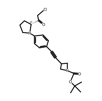 CC(C)(C)OC(=O)N1CC(C#Cc2ccc(N3CCC[C@@H]3C(=O)CCl)cc2)C1